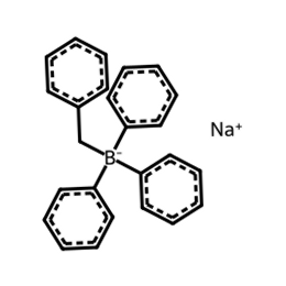 [Na+].c1ccc(C[B-](c2ccccc2)(c2ccccc2)c2ccccc2)cc1